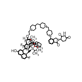 CC(C)[Si](C#Cc1c(F)ccc2cc(O)cc(-c3ncc4c(N5CC6CCC(C5)N6C(=O)OC(C)(C)C)nc(OCCN5CCC(CC6CCN(CC7CCN(c8cccc9c8CN(C8CCC(=O)NC8=O)C9=O)CC7)CC6)CC5)nc4c3F)c12)(C(C)C)C(C)C